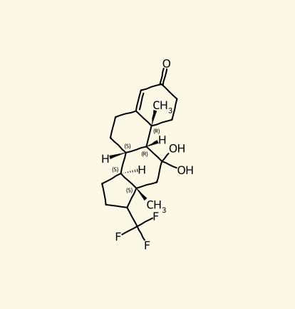 C[C@]12CCC(=O)C=C1CC[C@@H]1[C@H]2C(O)(O)C[C@]2(C)C(C(F)(F)F)CC[C@@H]12